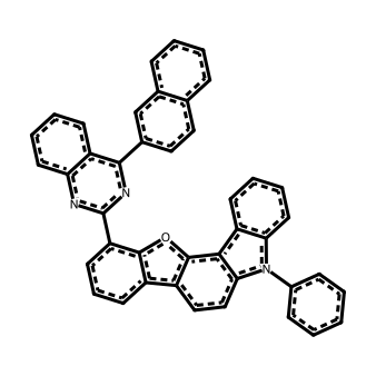 c1ccc(-n2c3ccccc3c3c4oc5c(-c6nc(-c7ccc8ccccc8c7)c7ccccc7n6)cccc5c4ccc32)cc1